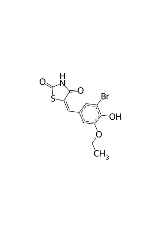 CCOc1cc(C=C2SC(=O)NC2=O)cc(Br)c1O